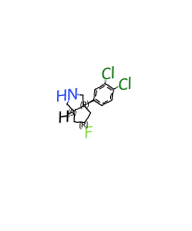 F[C@@H]1C[C@@H]2CNC[C@]2(c2ccc(Cl)c(Cl)c2)C1